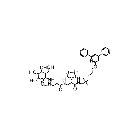 CC(C)(CCCCOc1cc(-c2ccccc2)cc(-c2ccccc2)n1)CNC(=O)C(CNC(=O)CCN(C=O)NC1OC(O)C(O)C(O)C1CO)N(C=O)OC(C)(C)C